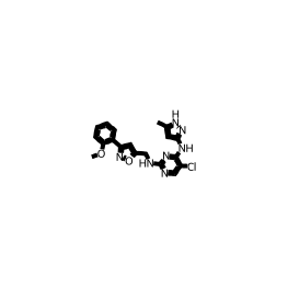 COc1ccccc1-c1cc(CNc2ncc(Cl)c(Nc3cc(C)[nH]n3)n2)on1